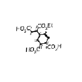 CCOC(=O)C(CC(=O)O)C1C=CC(C(=O)O)C(C(=O)O)C1